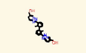 Cc1c(-c2nc3n(n2)C=C(CO)CC3)cccc1-c1cccc(-c2nc3ccc(CO)cn3n2)c1C